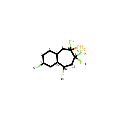 FC1CCC2CC(F)(P)C(F)(F)CC(F)C2C1